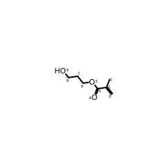 C=C(C)C(=O)OCC[CH]O